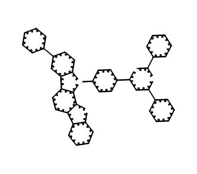 c1ccc(-c2ccc3c(c2)c2ccc4c5ccccc5sc4c2n3-c2ccc(-c3cc(-c4ccccc4)nc(-c4ccccc4)n3)cc2)cc1